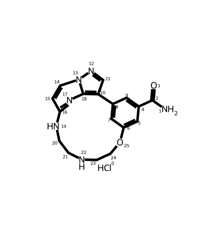 Cl.NC(=O)c1cc2cc(c1)-c1cnn3ccc(nc13)NCCNCCO2